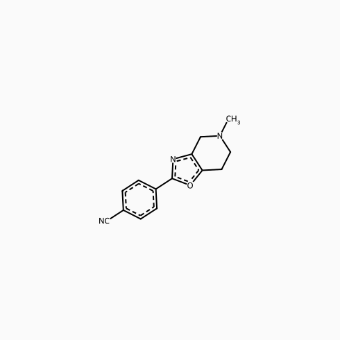 CN1CCc2oc(-c3ccc(C#N)cc3)nc2C1